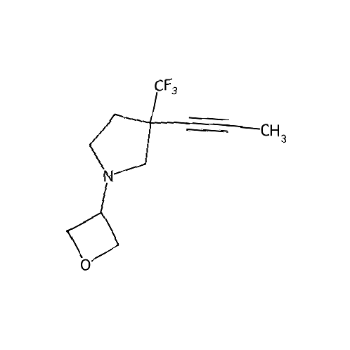 CC#CC1(C(F)(F)F)CCN(C2COC2)C1